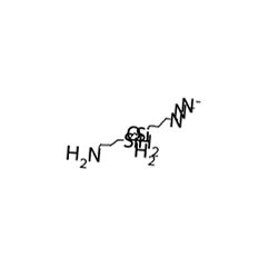 [N-]=[N+]=NCCC[SiH2]O[SiH2]CCCN